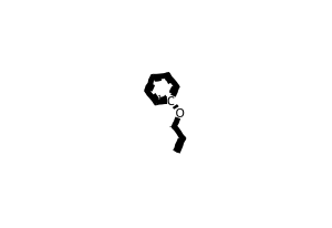 C=C[CH]O[14c]1ccccc1